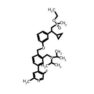 CCOP(C)(=O)CC(c1cccc(OCc2ccc(-c3cc(C)ncc3F)cc2CN(C(C)C)C(C)C)c1)C1CC1